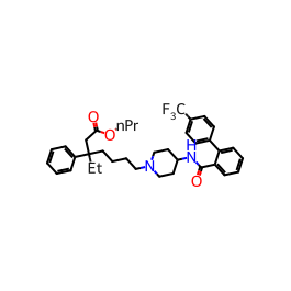 CCCOC(=O)CC(CC)(CCCCN1CCC(NC(=O)c2ccccc2-c2ccc(C(F)(F)F)cc2)CC1)c1ccccc1